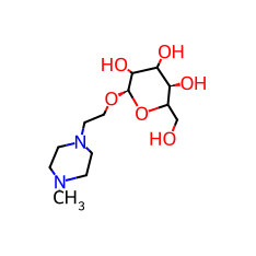 CN1CCN(CCO[C@@H]2OC(CO)[C@H](O)C(O)C2O)CC1